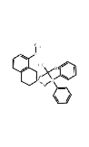 COc1cccc2c1C[C@H](O[Si](c1ccccc1)(c1ccccc1)C(C)(C)C)CC2